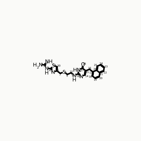 N=C(N)Nc1nc(CSCCNc2ncc(Cc3cccc4ccccc34)c(=O)[nH]2)cs1